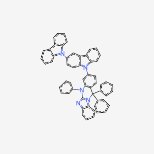 c1ccc(N2c3cc(-n4c5ccccc5c5cc(-n6c7ccccc7c7ccccc76)ccc54)ccc3C(c3ccccc3)(c3ccccc3)n3c2nc2ccccc23)cc1